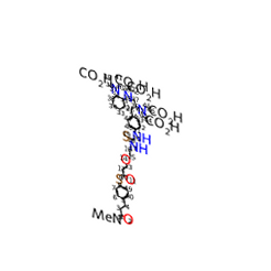 CNC(=O)CCc1ccc(SC(=O)CCOCCNC(=S)Nc2ccc(C[C@@H](CN(CC(=O)O)[C@H]3CCCC[C@@H]3N(CC(=O)O)CC(=O)O)N(CC(=O)O)CC(=O)O)cc2)cc1